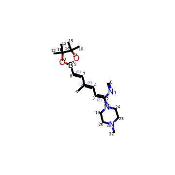 C=N\C(=C/C=C(C)/C=C/B1OC(C)(C)C(C)(C)O1)N1CCN(C)CC1